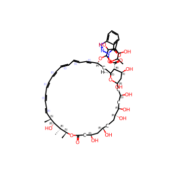 CC1OC(O[C@H]2/C=C/C=C/C=C/C=C/C=C/C=C/C=C/[C@H](C)[C@@H](O)[C@@H](C)[C@H](C)OC(=O)C[C@H](O)C[C@H](O)CC[C@@H](O)[C@H](O)C[C@H](O)C[C@]3(O)C[C@H](O)[C@@H](C(=O)On4nnc5ccccc5c4=O)[C@H](C2)O3)C(O)C(C)C1O